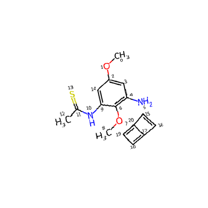 COc1cc(N)c(OC)c(NC(C)=S)c1.c1cc2ccc1-2